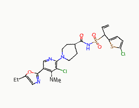 C=CC(c1ccc(Cl)s1)S(=O)(=O)NC(=O)C1CCN(c2ncc(-c3ncc(CC)o3)c(NC)c2Cl)CC1